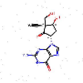 C#C[C@]1(CO)C(=O)[C@@H](n2cnc3c(=O)[nH]c(N)nc32)C[C@@H]1O